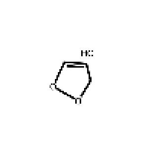 C1=COOC1.Cl